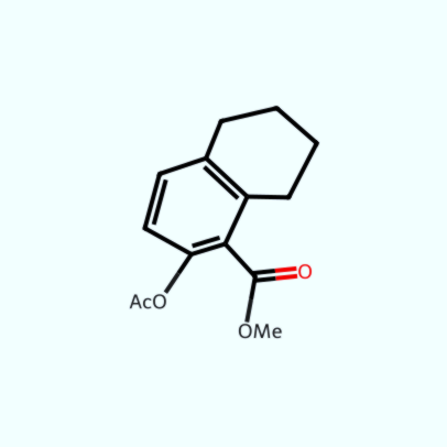 COC(=O)c1c(OC(C)=O)ccc2c1CCCC2